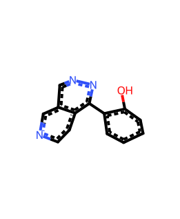 Oc1ccccc1-c1nncc2cnccc12